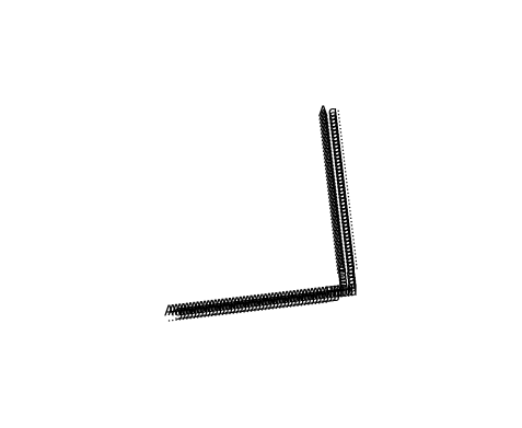 [Ag].[Ag].[Ag].[Ag].[Ag].[Ag].[Ag].[Ag].[Ag].[Ag].[Ag].[Ag].[Ag].[Ag].[Ag].[Ag].[Ag].[Ag].[Ag].[Ag].[Ag].[Ag].[Ag].[Ag].[Ag].[Ag].[Ag].[Ag].[Ag].[Ag].[Ag].[Ag].[Ag].[Ag].[Ag].[Ag].[Ag].[Ag].[Ag].[Ag].[Ag].[Ag].[Ag].[Ag].[Ag].[Ag].[Ag].[Ag].[Ag].[Ag].[Ag].[Ag].[Ag].[Ag].[Ag].[Ag].[Ag].[Ag].[Ag].[Ag].[Ag].[Ag].[Ag].[Ag].[Ag].[Ag].[Ag].[Ag].[Ag].[Ag].[Ag].[Ag].[Ag].[Ag].[Ag].[Ag].[Ag].[Ag].[Ag].[Ag].[Ag].[Ag].[Ag].[Ag].[Ag].[Ag].[Ag].[Ag].[Ag].[Ag].[Pd].[Pd].[Pd].[Pd].[Pd].[Pd].[Pd].[Pd].[Pd].[Pd]